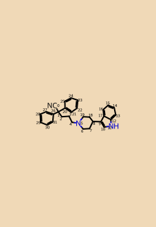 N#CC(CCCN1CCC(c2c[nH]c3ccccc23)CC1)(c1ccccc1)c1ccccc1